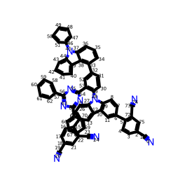 N#Cc1ccc(-c2ccc3c(c2)c2cc(-c4ccc(C#N)cc4C#N)ccc2n3-c2ccc(-c3cccc4c3c3ccccc3n4-c3ccccc3)cc2-c2nc(-c3ccccc3)nc(-c3ccccc3)n2)c(C#N)c1